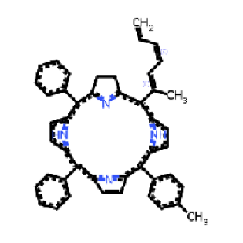 C=C/C=C\C=C(/C)c1c2nc(c(-c3ccccc3)c3ccc([nH]3)c(-c3ccccc3)c3nc(c(-c4ccc(C)cc4)c4ccc1[nH]4)C=C3)CC2